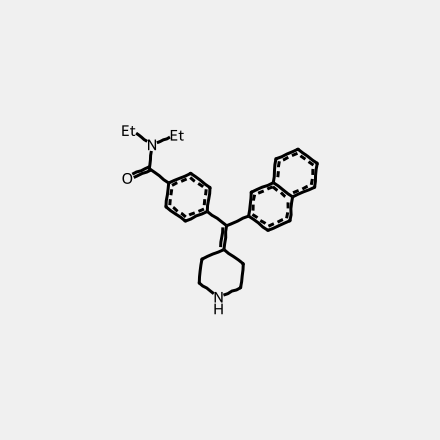 CCN(CC)C(=O)c1ccc(C(=C2CCNCC2)c2ccc3ccccc3c2)cc1